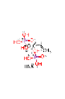 C=CC(=O)O.O=P(O)(O)O.O=P(O)(O)O.[NaH]